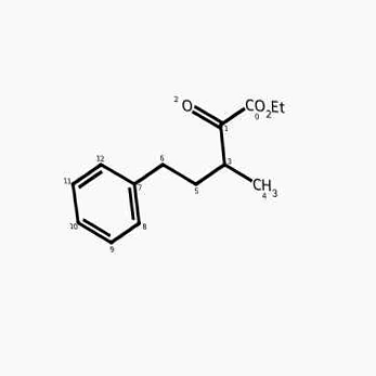 CCOC(=O)C(=O)C(C)CCc1ccccc1